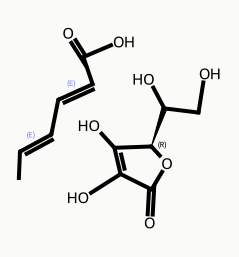 C/C=C/C=C/C(=O)O.O=C1O[C@H](C(O)CO)C(O)=C1O